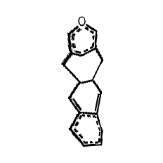 C1=c2ccccc2=CC2Cc3cocc3CC12